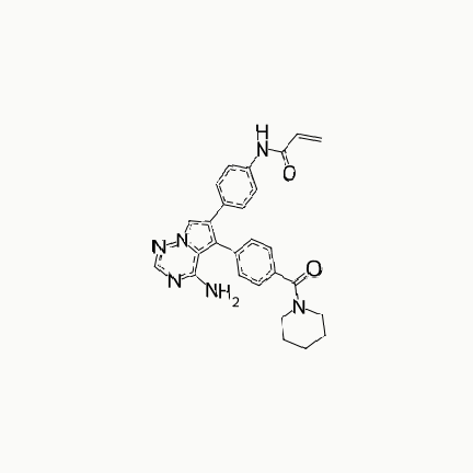 C=CC(=O)Nc1ccc(-c2cn3ncnc(N)c3c2-c2ccc(C(=O)N3CCCCC3)cc2)cc1